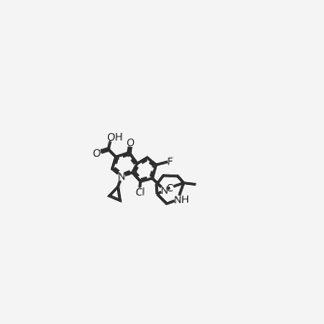 CC12CCCC(CN1)N(c1c(F)cc3c(=O)c(C(=O)O)cn(C4CC4)c3c1Cl)C2